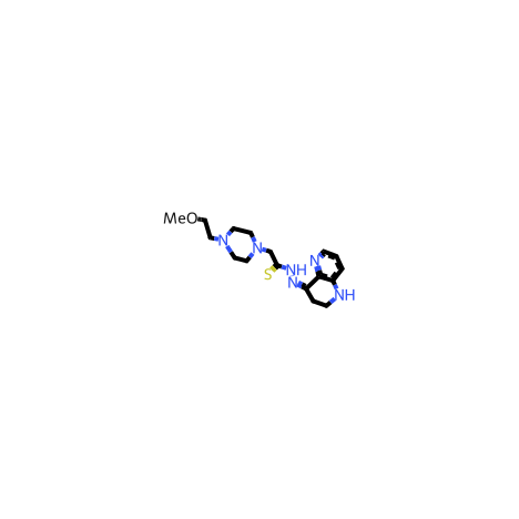 COCCN1CCN(CC(=S)N/N=C2/CCNc3cccnc32)CC1